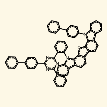 c1ccc(-c2ccc(-c3nc(-c4ccccc4)nc(-c4ccccc4-n4c5ccccc5c5ccc6c7ccc8c9ccccc9n(-c9ccc(-c%10ccccc%10)cc9)c8c7sc6c54)n3)cc2)cc1